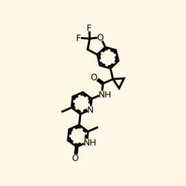 Cc1ccc(NC(=O)C2(c3ccc4c(c3)CC(F)(F)O4)CC2)nc1-c1ccc(=O)[nH]c1C